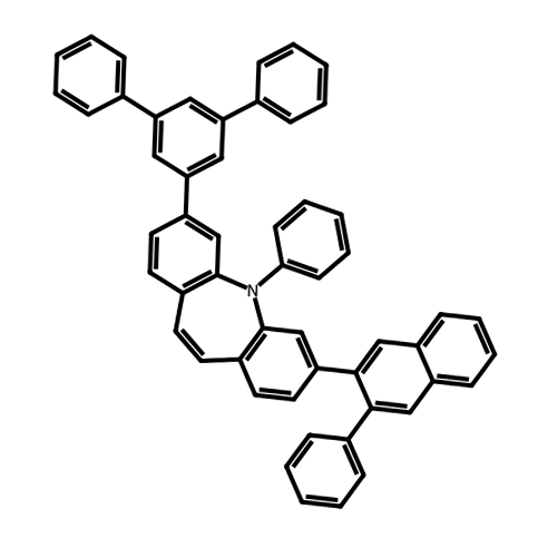 C1=Cc2ccc(-c3cc4ccccc4cc3-c3ccccc3)cc2N(c2ccccc2)c2cc(-c3cc(-c4ccccc4)cc(-c4ccccc4)c3)ccc21